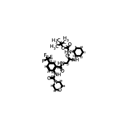 CC(C)(C)OC(=O)N[C@@H]1CCCC[C@@H]1NC(=O)CNC(=O)c1cc(C(F)(F)F)ccc1NC(=O)N1CCOCC1